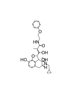 C/C(C(=O)NCCOc1ccccc1)=C(/O)[C@@H]1Oc2c(O)ccc3c2[C@@]12CCN(CC1CC1)[C@H](C3)[C@@]2(C)O